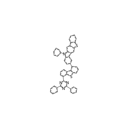 c1ccc(-c2nc(-c3ccccc3)nc(-c3cccc4c3sc3cccc(-c5ccc6c(c5)c5cc7sc8ccccc8c7cc5n6-c5ccccc5)c34)n2)cc1